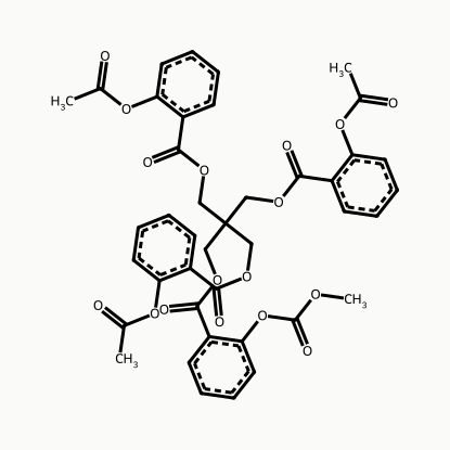 COC(=O)Oc1ccccc1C(=O)OCC(COC(=O)c1ccccc1OC(C)=O)(COC(=O)c1ccccc1OC(C)=O)COC(=O)c1ccccc1OC(C)=O